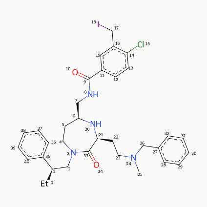 CC[C@H](CN1CC[C@@H](CNC(=O)c2ccc(Cl)c(CI)c2)N[C@@H](CCN(C)Cc2ccccc2)C1=O)c1ccccc1